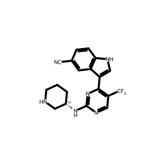 N#Cc1ccc2[nH]cc(-c3nc(N[C@H]4CCCNC4)ncc3C(F)(F)F)c2c1